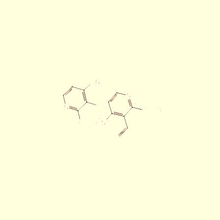 C=Cc1c(C#N)ccnc1C(=O)OCC.CCOC(=O)c1nccc(C#N)c1Cl